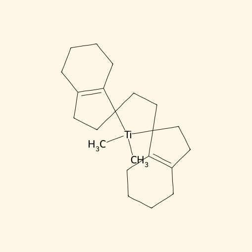 [CH3][Ti]1([CH3])[C]2(CCC3=C2CCCC3)CC[C]12CCC1=C2CCCC1